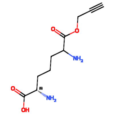 C#CCOC(=O)C(N)CCC[C@H](N)C(=O)O